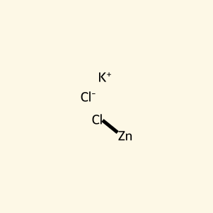 [Cl-].[Cl][Zn].[K+]